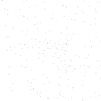 c1cc2c3c(cccc3c1)-c1cc(N(c3ccc(-c4ccc5ccc6ccccc6c5c4)cc3)c3ccc4c(c3)[nH]c3ccccc34)ccc1-2